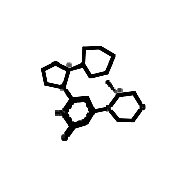 C[C@@H]1COCCN1c1cc(N2CCC[C@H]2C2CCCCC2)[nH]c(=O)c1